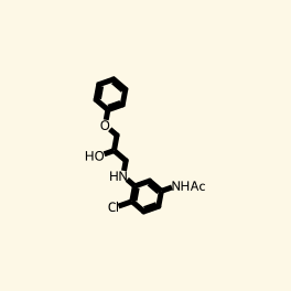 CC(=O)Nc1ccc(Cl)c(NCC(O)COc2ccccc2)c1